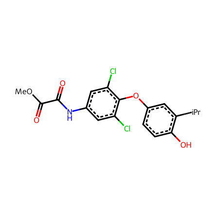 COC(=O)C(=O)Nc1cc(Cl)c(Oc2ccc(O)c(C(C)C)c2)c(Cl)c1